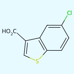 O=C(O)c1csc2ccc(Cl)cc12